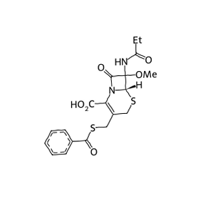 CCC(=O)NC1(OC)C(=O)N2C(C(=O)O)=C(CSC(=O)c3ccccc3)CS[C@H]21